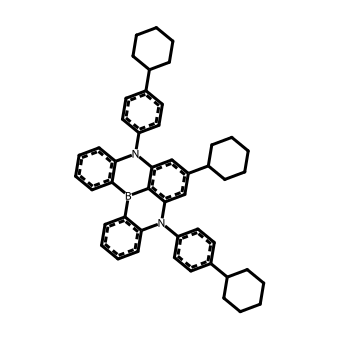 c1ccc2c(c1)B1c3ccccc3N(c3ccc(C4CCCCC4)cc3)c3cc(C4CCCCC4)cc(c31)N2c1ccc(C2CCCCC2)cc1